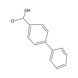 OC(Cl)c1ccc(-c2ccccc2)cc1